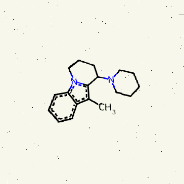 Cc1c2n(c3ccccc13)CCCC2N1CCCCC1